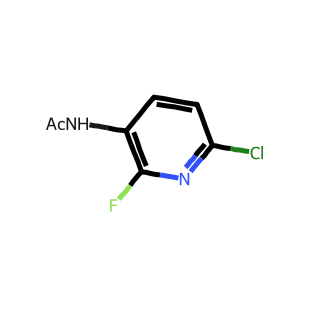 CC(=O)Nc1ccc(Cl)nc1F